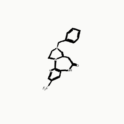 O=C1CC2CN(Cc3ccccc3)CCN2c2ncc(C(F)(F)F)cc2N1